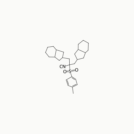 [C-]#[N+]C(CC1CC2CCCCC2C1)(CC1CC2CCCCC2C1)S(=O)(=O)c1ccc(C)cc1